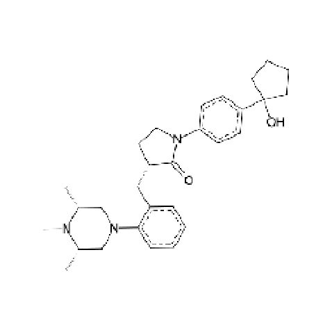 C[C@@H]1CN(c2ccccc2C[C@@H]2CCN(c3ccc(C4(O)CCCC4)cc3)C2=O)C[C@H](C)N1C